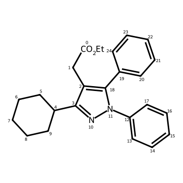 CCOC(=O)Cc1c(C2CCCCC2)nn(-c2ccccc2)c1-c1ccccc1